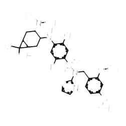 COc1ccc(CN(c2nccs2)S(=O)(=O)c2cc(Cl)c(NC3C[C@@H]4C(C[C@@H]3N(C)C)C4(Cl)Cl)cc2F)c(OC)c1